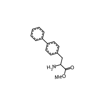 COC(=O)C(N)Cc1ccc(-c2ccccc2)cc1